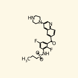 CCCS(=O)(=O)Nc1cc(F)cc(C(=O)c2ccc3ncc(N4CCNCC4)cc3c2)c1F